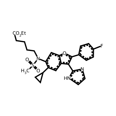 CCOC(=O)CCCCN(c1cc2oc(-c3ccc(F)cc3)c(-c3ncc[nH]3)c2cc1C1CC1)S(C)(=O)=O